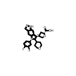 O=C(O)[C@H]1C[C@H](c2c(C3CCOCC3)n(-c3ccc(F)c(F)c3)c3cc4cn[nH]c4cc23)CO1